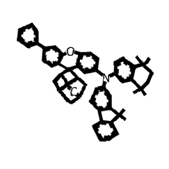 CC1(C)CCC(C)(C)c2cc(N(c3ccc4c(c3)C(C)(C)c3ccccc3-4)c3ccc4c(c3)C3(c5ccc(-c6ccccc6)cc5O4)C4CC5CC6CC3C64C5)ccc21